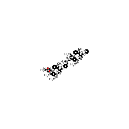 C=CC(=O)Nc1cc(Nc2ncc(C(=O)Oc3ccc(CN(C)CCN(C)c4cc(OC)c(Nc5ncc(C(=O)Oc6ccccn6)c(-c6cn(C)c7ccccc67)n5)cc4NC(=O)C=C)cc3)c(-c3cn(C)c4ccccc34)n2)c(OC)cc1N(C)CCN(C)C